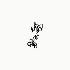 Cc1cccc(OC(c2ccncc2)C2CCN(C(C)CCNC(=O)c3c(Cl)cncc3Cl)CC2)n1